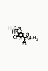 COC(=O)C(c1ccc(NC(C)=O)c(Cl)c1)C1CC1